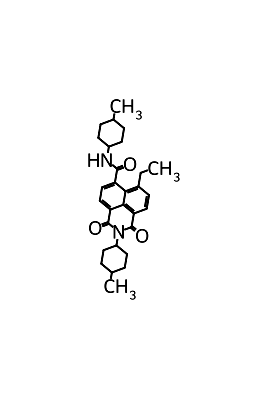 CCc1ccc2c3c(ccc(C(=O)NC4CCC(C)CC4)c13)C(=O)N(C1CCC(C)CC1)C2=O